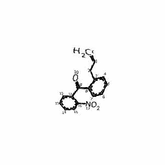 C=CCc1ccccc1C(=O)c1ccccc1[N+](=O)[O-]